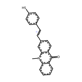 Cn1c2ccccc2c(=O)c2ccc(/C=C/c3ccc(S)cc3)cc21